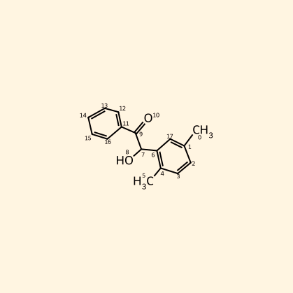 Cc1ccc(C)c(C(O)C(=O)c2ccccc2)c1